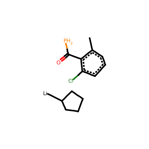 Cc1cccc(Cl)c1C(=O)P.[Li][CH]1CCCC1